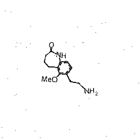 COc1c(CCN)ccc2c1CCCC(=O)N2